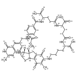 CO[C@@]12[C@H](COC(N)=O)C3=C(C(=O)C(C)=C(NCCCCC(NC(=O)CCC(NC(=O)CCC(NC(=O)c4ccc(NCc5cnc6nc(N)[nH]c(=O)c6n5)cc4)C(=O)O)C(=O)O)C(=O)O)C3=O)N1CC1N[C@@H]12